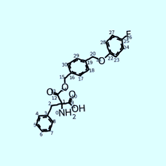 NC(Cc1ccccc1)(C(=O)O)C(=O)OCc1ccc(COc2ccc(F)cc2)cc1